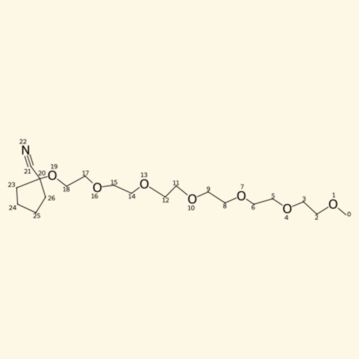 COCCOCCOCCOCCOCCOCCOC1(C#N)CCCC1